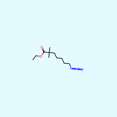 CCOC(=O)C(C)(C)CCCCCN=[N+]=[N-]